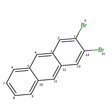 Brc1[c]c2cc3ccccc3cc2cc1Br